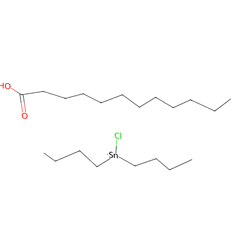 CCCCCCCCCCCC(=O)O.CCC[CH2][Sn]([Cl])[CH2]CCC